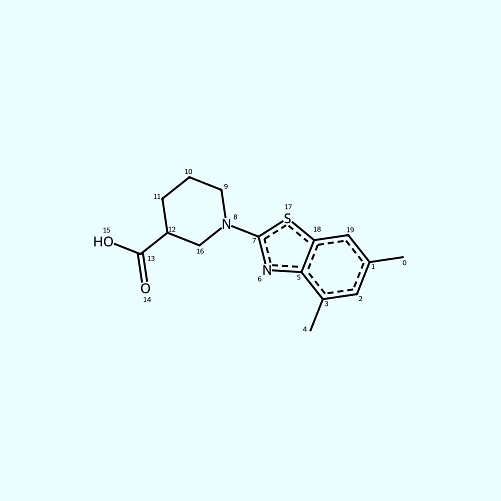 Cc1cc(C)c2nc(N3CCCC(C(=O)O)C3)sc2c1